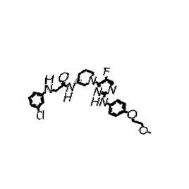 COCCOc1ccc(Nc2ncc(F)c(N3CCC[C@@H](NC(=O)CNc4cccc(Cl)c4)C3)n2)cc1